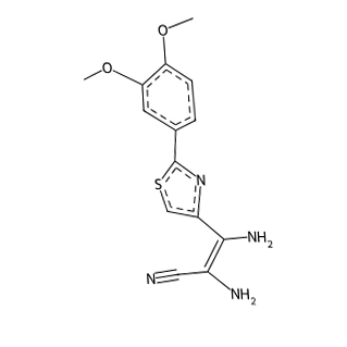 COc1ccc(-c2nc(/C(N)=C(/N)C#N)cs2)cc1OC